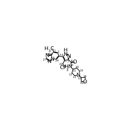 Cc1cc(-c2[nH]nc(C(=O)NC3CCN(C4COC4)CC3)c2CC(F)(F)F)cn2ncnc12